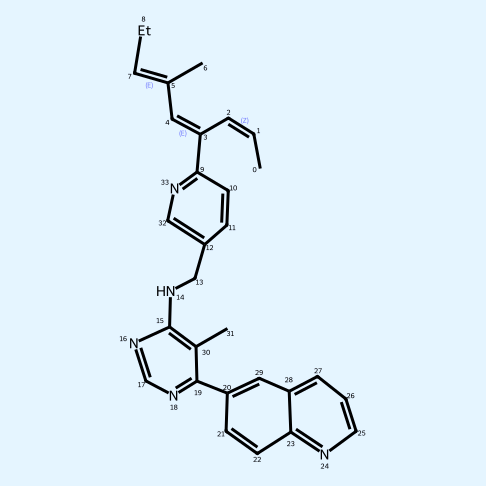 C\C=C/C(=C\C(C)=C\CC)c1ccc(CNc2ncnc(-c3ccc4ncccc4c3)c2C)cn1